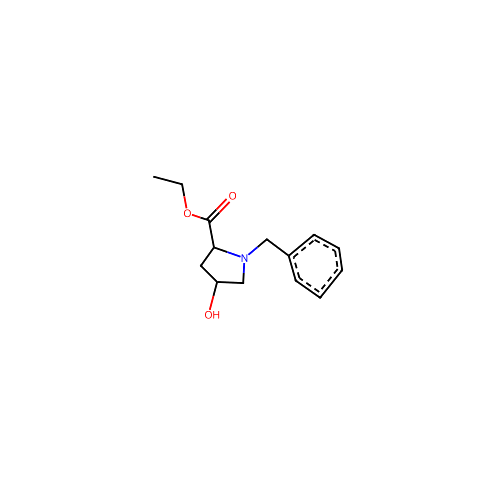 CCOC(=O)C1CC(O)CN1Cc1ccccc1